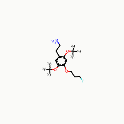 [2H]C([2H])([2H])Oc1cc(OCCCF)c(OC([2H])([2H])[2H])cc1CCN